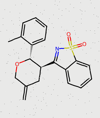 C=C1CO[C@H](c2ccccc2C)[C@@H](C2=NS(=O)(=O)c3ccccc32)C1